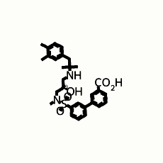 Cc1ccc(CC(C)(C)NC[C@@H](O)CN(C)S(=O)(=O)c2cccc(-c3cccc(C(=O)O)c3)c2)cc1C